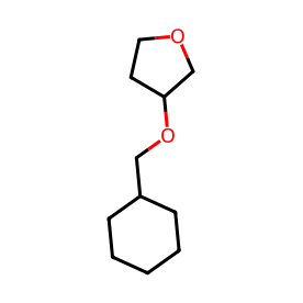 C1CCC(COC2CCOC2)CC1